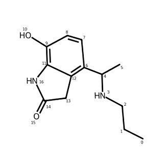 CCCNC(C)c1ccc(O)c2c1CC(=O)N2